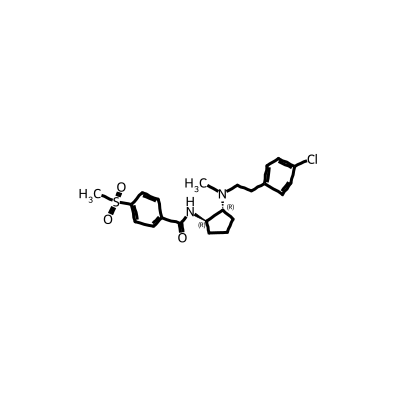 CN(CCc1ccc(Cl)cc1)[C@@H]1CCC[C@H]1NC(=O)c1ccc(S(C)(=O)=O)cc1